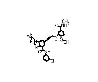 CNC(=O)c1ccc(OC)c(NCC#Cc2cc(C(=O)Nc3cccc(Cl)c3)c3ncn(CC(F)(F)F)c3c2)c1